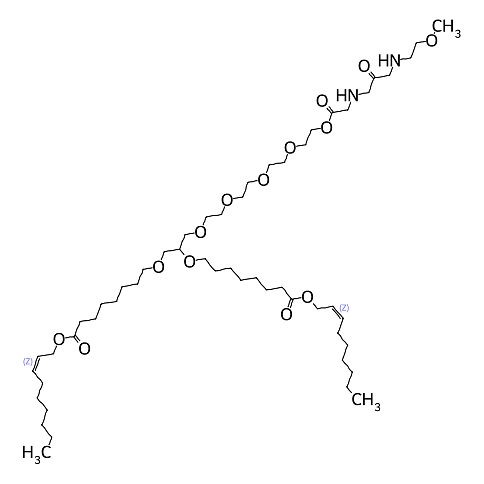 CCCCCC/C=C\COC(=O)CCCCCCCOCC(COCCOCCOCCOCCOC(=O)CNCC(=O)CNCCOC)OCCCCCCCC(=O)OC/C=C\CCCCCC